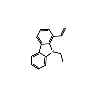 C=Cc1cccc2c3ccccc3n(CC)c12